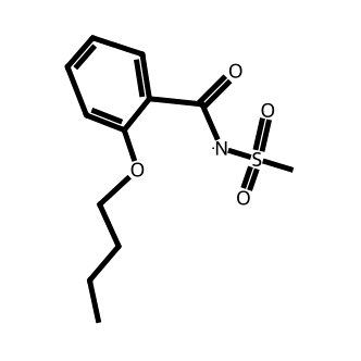 CCCCOc1ccccc1C(=O)[N]S(C)(=O)=O